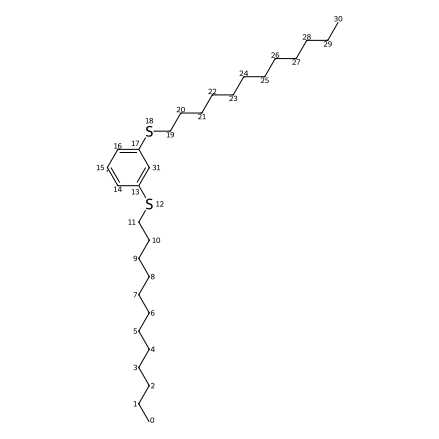 CCCCCCCCCCCCSc1c[c]cc(SCCCCCCCCCCCC)c1